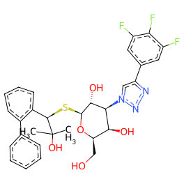 CC(C)(O)[C@H](S[C@@H]1O[C@H](CO)[C@H](O)[C@H](n2cc(-c3cc(F)c(F)c(F)c3)nn2)[C@H]1O)c1ccccc1-c1ccccc1